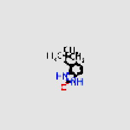 CC(C)(C)Cc1cccc2[nH]c(=O)[nH]c12